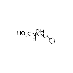 CC(CNCC(=O)NCC(=O)O)c1ccccc1